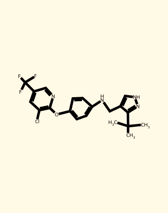 CC(C)(C)c1n[nH]cc1CNc1ccc(Oc2ncc(C(F)(F)F)cc2Cl)cc1